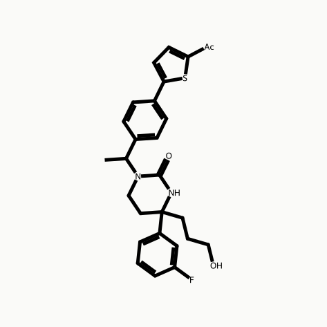 CC(=O)c1ccc(-c2ccc(C(C)N3CCC(CCCO)(c4cccc(F)c4)NC3=O)cc2)s1